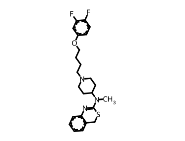 CN(C1=Nc2ccccc2CS1)C1CCN(CCCCOc2ccc(F)c(F)c2)CC1